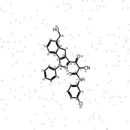 N#CC(C(=O)Nc1cccc(Cl)c1)C(=O)c1nn(-c2ccccc2)c2c1Cc1c(CO)cccc1-2